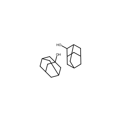 OC12CC3CC(CC(C3)C1)C2.OC1C2CC3CC(C2)CC1C3